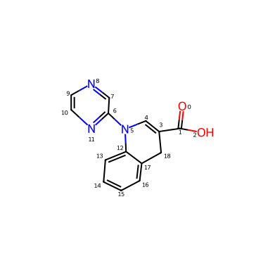 O=C(O)C1=CN(c2cnccn2)c2ccccc2C1